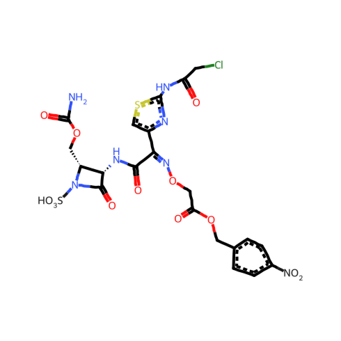 NC(=O)OC[C@@H]1[C@H](NC(=O)/C(=N\OCC(=O)OCc2ccc([N+](=O)[O-])cc2)c2csc(NC(=O)CCl)n2)C(=O)N1S(=O)(=O)O